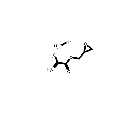 C=C(C)C(=O)OCC1CO1.CCCC